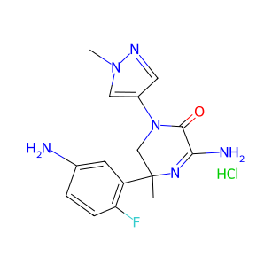 Cl.Cn1cc(N2CC(C)(c3cc(N)ccc3F)N=C(N)C2=O)cn1